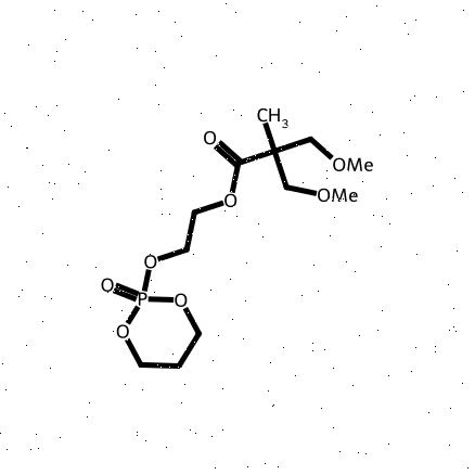 COCC(C)(COC)C(=O)OCCOP1(=O)OCCCO1